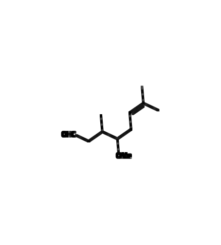 COC(CC=C(C)C)C(C)CC=O